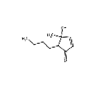 CCCCC1C(=O)C=CC1(C)O